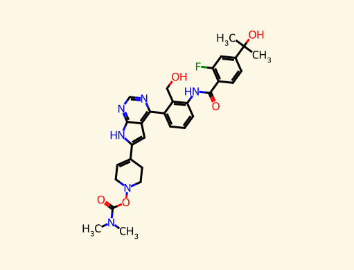 CN(C)C(=O)ON1CC=C(c2cc3c(-c4cccc(NC(=O)c5ccc(C(C)(C)O)cc5F)c4CO)ncnc3[nH]2)CC1